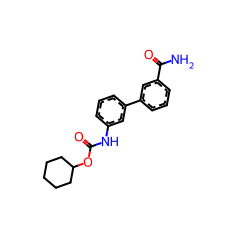 NC(=O)c1cccc(-c2cccc(NC(=O)OC3CCCCC3)c2)c1